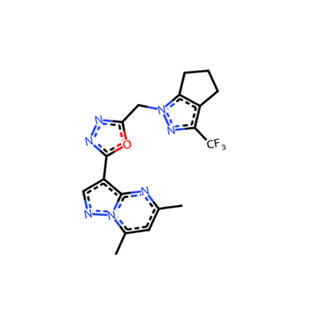 Cc1cc(C)n2ncc(-c3nnc(Cn4nc(C(F)(F)F)c5c4CCC5)o3)c2n1